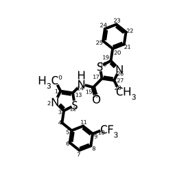 Cc1nc(Cc2cccc(C(F)(F)F)c2)sc1NC(=O)c1sc(-c2ccccc2)nc1C